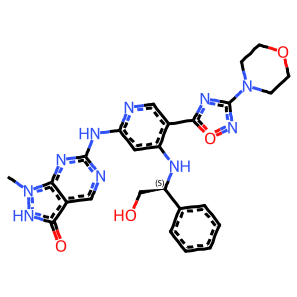 Cn1[nH]c(=O)c2cnc(Nc3cc(N[C@H](CO)c4ccccc4)c(-c4nc(N5CCOCC5)no4)cn3)nc21